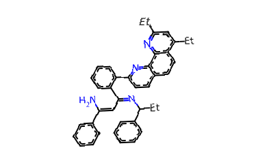 CCc1cc(CC)c2ccc3ccc(-c4ccccc4C(/C=C(\N)c4ccccc4)=N/C(CC)c4ccccc4)nc3c2n1